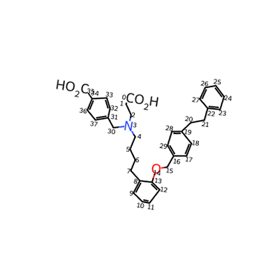 O=C(O)CCN(CCCCc1ccccc1OCc1ccc(CCc2ccccc2)cc1)Cc1ccc(C(=O)O)cc1